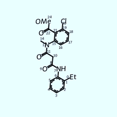 CCc1ccccc1NC(=O)CC(=O)N(C)c1cccc(Cl)c1C(=O)OC